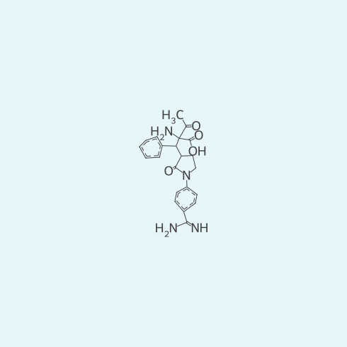 CC(=O)C(N)(C(=O)O)C(c1ccccc1)C1CCN(c2ccc(C(=N)N)cc2)C1=O